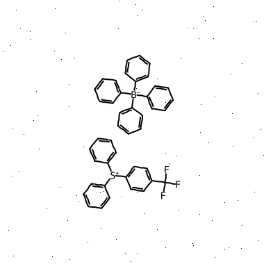 FC(F)(F)c1ccc([S+](c2ccccc2)c2ccccc2)cc1.c1ccc([B-](c2ccccc2)(c2ccccc2)c2ccccc2)cc1